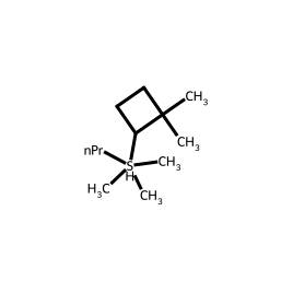 CCC[SH](C)(C)(C)C1CCC1(C)C